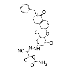 N#CC(=NNc1cc(Cl)c(Oc2ccc3c(c2)CCN(Cc2ccccc2)C3=O)c(Cl)c1)C(=O)OC(N)=O